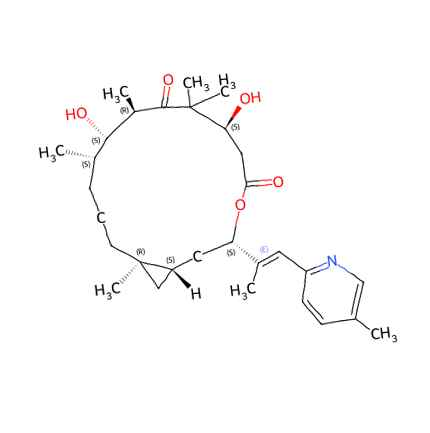 C/C(=C\c1ccc(C)cn1)[C@@H]1C[C@@H]2C[C@@]2(C)CCC[C@H](C)[C@H](O)[C@@H](C)C(=O)C(C)(C)[C@@H](O)CC(=O)O1